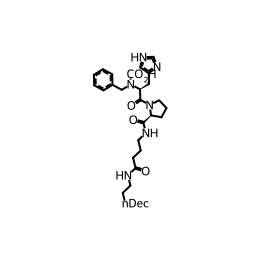 CCCCCCCCCCCCNC(=O)CCCNC(=O)[C@@H]1CCCN1C(=O)[C@H](Cc1c[nH]cn1)N(Cc1ccccc1)C(=O)O